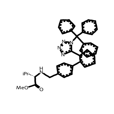 COC(=O)[C@@H](NCc1ccc(-c2ccccc2-c2nnnn2C(c2ccccc2)(c2ccccc2)c2ccccc2)cc1)C(C)C